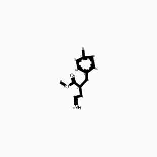 COC(=O)C(CC=N)Cc1ccc(C)cc1